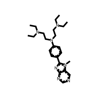 CCN(CC)CCN(CCN(CC)CC)c1ccc(-c2nc3ncncc3n2C)cc1